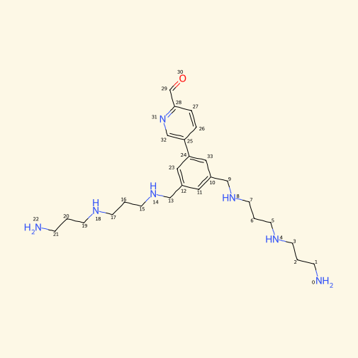 NCCCNCCCNCc1cc(CNCCCNCCCN)cc(-c2ccc(C=O)nc2)c1